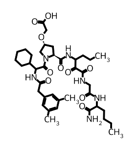 CCCCC(NC(=O)CNC(=O)C(=O)C(CCC)NC(=O)[C@@H]1C[C@@H](OCC(=O)O)CN1C(=O)C(NC(=O)Cc1cc(C)cc(C)c1)C1CCCCC1)C(N)=O